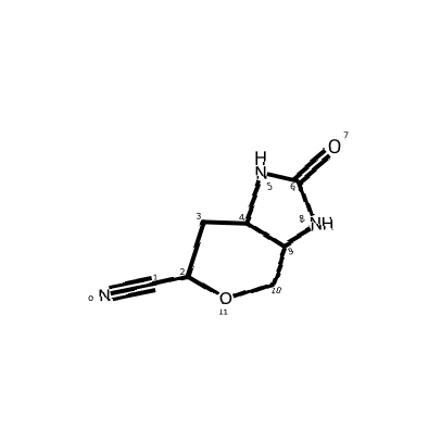 N#CC1CC2NC(=O)NC2CO1